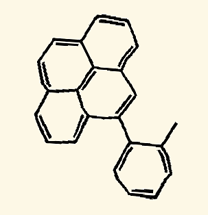 Cc1ccccc1-c1cc2cccc3ccc4cccc1c4c32